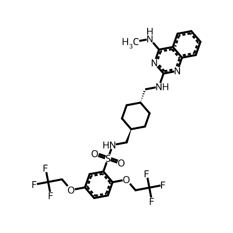 CNc1nc(NC[C@H]2CC[C@H](CNS(=O)(=O)c3cc(OCC(F)(F)F)ccc3OCC(F)(F)F)CC2)nc2ccccc12